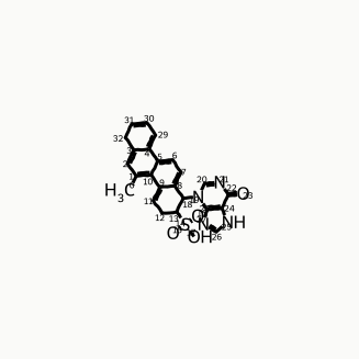 Cc1cc2c(c3ccc4c(c13)=CCC(S(=O)(=O)O)C4n1cnc(=O)c3[nH]cnc31)=CC=CC2